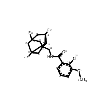 COc1cccc(C(=O)NCC23CC4(F)CC(F)(CC(F)(C4)C2)C3)c1Cl